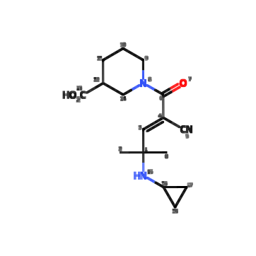 CC(C)(C=C(C#N)C(=O)N1CCCC(C(=O)O)C1)NC1CC1